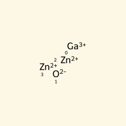 [Ga+3].[O-2].[Zn+2].[Zn+2]